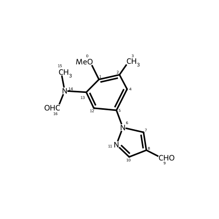 COc1c(C)cc(-n2cc(C=O)cn2)cc1N(C)C=O